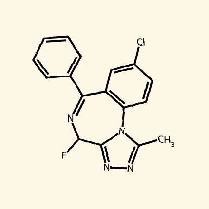 Cc1nnc2n1-c1ccc(Cl)cc1C(c1ccccc1)=NC2F